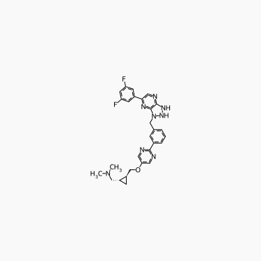 CN(C)C[C@H]1C[C@@H]1COc1cnc(-c2cccc(CN3NNc4ncc(-c5cc(F)cc(F)c5)nc43)c2)nc1